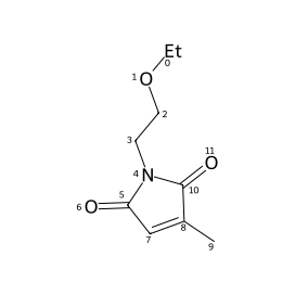 CCOCCN1C(=O)C=C(C)C1=O